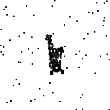 CC[C@@H]1C[C@H](CC)[C@@]2(C)OB(C[C@@H](COCOCC[Si](C)(C)C)NC(=O)OC(C)(C)C)O[C@H]2C1